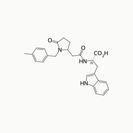 Cc1ccc(CN2C(=O)CCC2CC(=O)N[C@@H](Cc2c[nH]c3ccccc23)C(=O)O)cc1